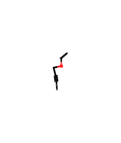 CC#CCO[CH]C